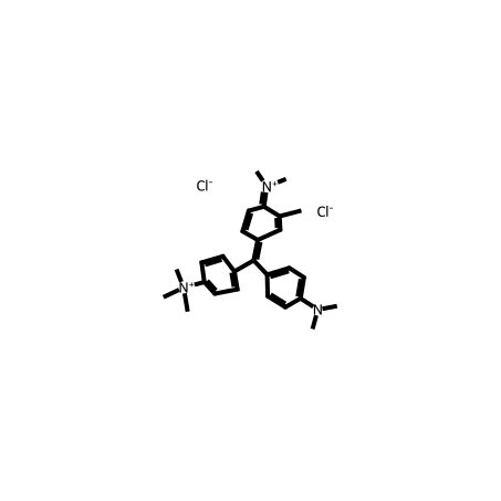 CC1=C/C(=C(\c2ccc(N(C)C)cc2)c2ccc([N+](C)(C)C)cc2)C=CC1=[N+](C)C.[Cl-].[Cl-]